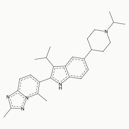 Cc1nc2ccc(-c3[nH]c4ccc(C5CCN(C(C)C)CC5)cc4c3C(C)C)c(C)n2n1